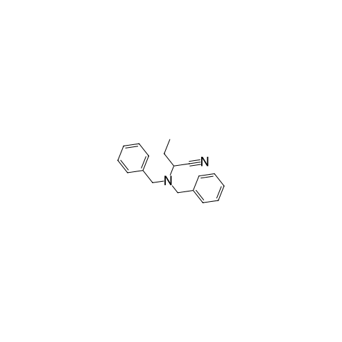 CCC(C#N)N(Cc1ccccc1)Cc1ccccc1